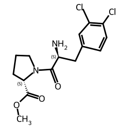 COC(=O)[C@@H]1CCCN1C(=O)[C@@H](N)Cc1ccc(Cl)c(Cl)c1